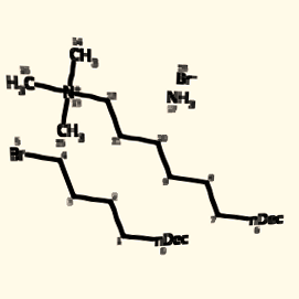 CCCCCCCCCCCCCCBr.CCCCCCCCCCCCCCCC[N+](C)(C)C.N.[Br-]